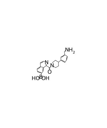 NCc1cccc(C2CCN(C(=O)c3nccc4ccc(B(O)O)cc34)CC2)c1